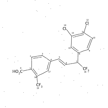 O=C(O)c1ccc(C=CC(c2ccc(Cl)c(Cl)c2)C(F)(F)F)cc1C(F)(F)F